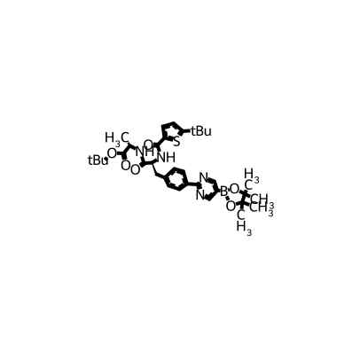 C[C@@H](NC(=O)[C@H](Cc1ccc(-c2ncc(B3OC(C)(C)C(C)(C)O3)cn2)cc1)NC(=O)c1ccc(C(C)(C)C)s1)C(=O)OC(C)(C)C